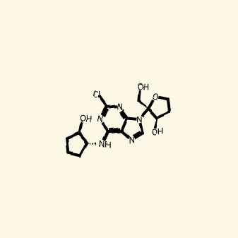 OC[C@@]1(n2cnc3c(N[C@@H]4CCCC4O)nc(Cl)nc32)OCC[C@H]1O